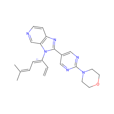 C=C/C(=C\C=C(C)C)n1c(-c2cnc(N3CCOCC3)nc2)nc2ccncc21